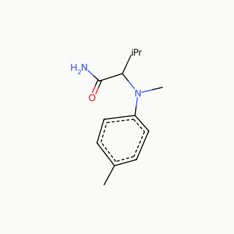 Cc1ccc(N(C)C(C(N)=O)C(C)C)cc1